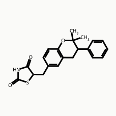 CC1(C)Oc2ccc(CC3SC(=O)NC3=O)cc2CC1c1ccccc1